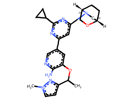 CC(Oc1cc(-c2cc(N3C[C@@H]4CC[C@H]3CO4)nc(C3CC3)n2)cnc1N)c1ccn(C)n1